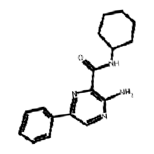 Nc1ncc(-c2ccccc2)nc1C(=O)NC1CCCCC1